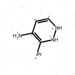 CC(C)C1=C(N)C=CNN1